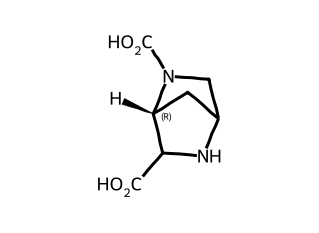 O=C(O)C1NC2C[C@H]1N(C(=O)O)C2